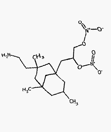 CC1CC2(C)CC(C)(CCN)CC(CC(CO[N+](=O)[O-])O[N+](=O)[O-])(C1)C2